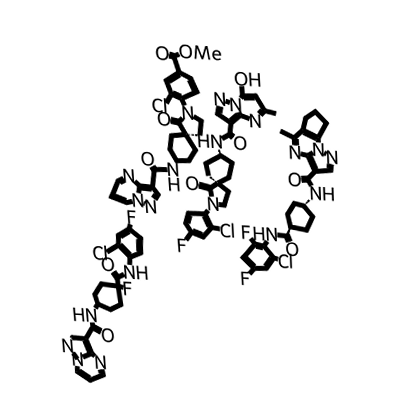 COC(=O)c1ccc(N2CC[C@]3(CC[C@@H](NC(=O)c4cnn5cccnc45)CC3)C2=O)c(Cl)c1.Cc1cc(O)n2ncc(C(=O)N[C@H]3CC[C@@]4(CCN(c5ccc(F)cc5Cl)C4=O)CC3)c2n1.Cc1nc2c(C(=O)N[C@H]3CC[C@H](C(=O)Nc4c(F)cc(F)cc4Cl)CC3)cnn2c2c1CCC2.O=C(NC1CCC(F)(C(=O)Nc2ccc(F)cc2Cl)CC1)c1cnn2cccnc12